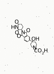 O=C1CCC(N2C(=O)c3ccc(C4(O)CCN(C(=O)O)CC4)cc3C2=O)C(=O)N1